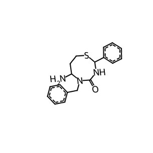 NC1CCSC(c2ccccc2)NC(=O)N1Cc1ccccc1